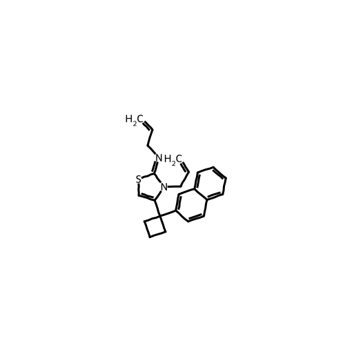 C=CCN=c1scc(C2(c3ccc4ccccc4c3)CCC2)n1CC=C